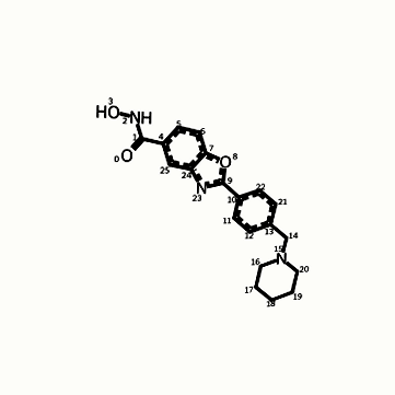 O=C(NO)c1ccc2oc(-c3ccc(CN4CCCCC4)cc3)nc2c1